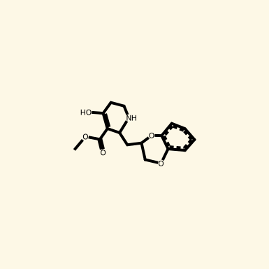 COC(=O)C1=C(O)CCNC1CC1COc2ccccc2O1